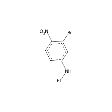 [CH2]CNc1ccc([N+](=O)[O-])c(Br)c1